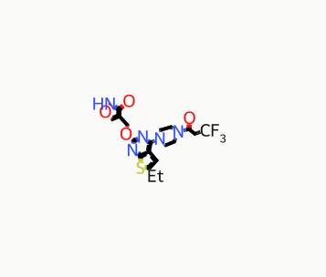 CCc1cc2c(N3CCN(C(=O)CC(F)(F)F)CC3)nc(OCc3co[nH]c3=O)nc2s1